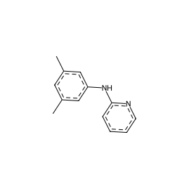 Cc1cc(C)cc(Nc2ccccn2)c1